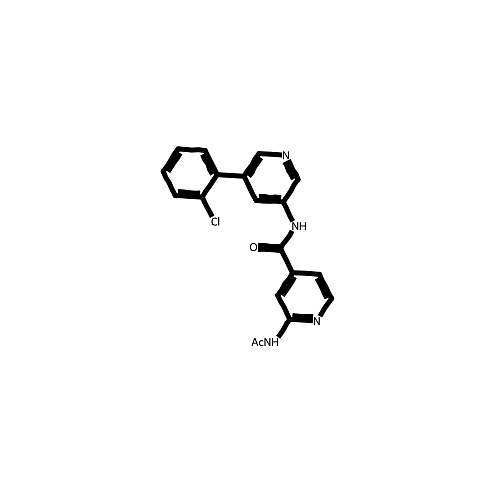 CC(=O)Nc1cc(C(=O)Nc2cncc(-c3ccccc3Cl)c2)ccn1